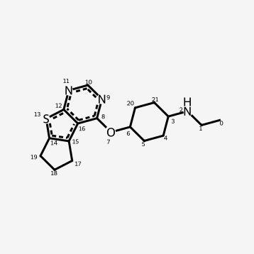 CCNC1CCC(Oc2ncnc3sc4c(c23)CCC4)CC1